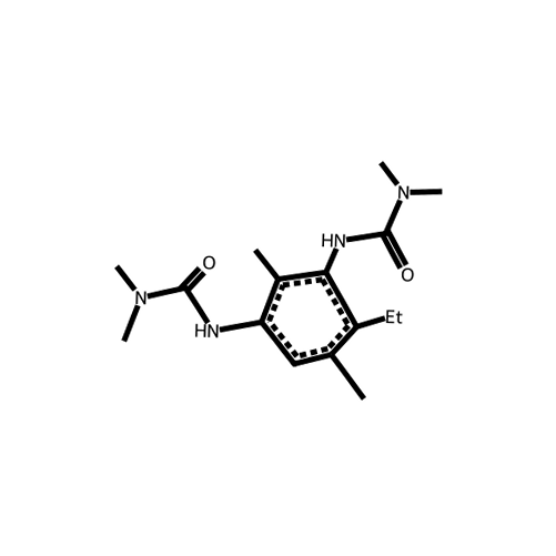 CCc1c(C)cc(NC(=O)N(C)C)c(C)c1NC(=O)N(C)C